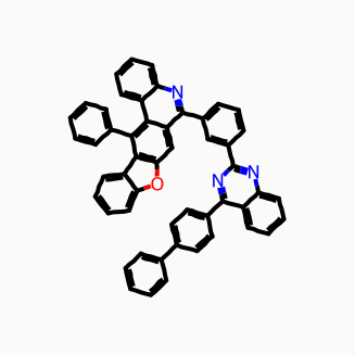 c1ccc(-c2ccc(-c3nc(-c4cccc(-c5nc6ccccc6c6c(-c7ccccc7)c7c(cc56)oc5ccccc57)c4)nc4ccccc34)cc2)cc1